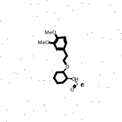 COc1ccc(CCO[C@@H]2CCCC[C@@H]2O[SH](=O)=O)cc1OC